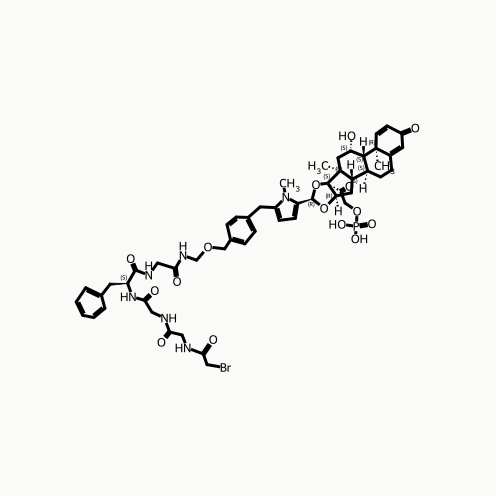 Cn1c(Cc2ccc(COCNC(=O)CNC(=O)[C@H](Cc3ccccc3)NC(=O)CNC(=O)CNC(=O)CBr)cc2)ccc1[C@@H]1O[C@@H]2C[C@H]3[C@@H]4CCC5=CC(=O)C=C[C@]5(C)[C@H]4[C@@H](O)C[C@]3(C)[C@]2(C(=O)COP(=O)(O)O)O1